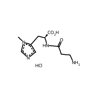 Cl.Cn1cncc1C[C@H](NC(=O)CCN)C(=O)O